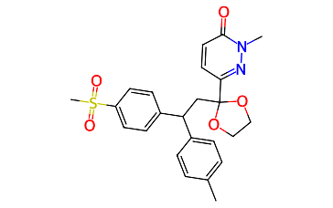 Cc1ccc(C(CC2(c3ccc(=O)n(C)n3)OCCO2)c2ccc(S(C)(=O)=O)cc2)cc1